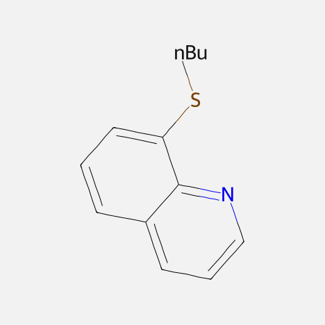 CCCCSc1cccc2cccnc12